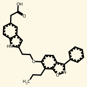 CCCc1c(OCCc2cc3cc(CC(=O)O)ccc3[nH]2)ccc2c(-c3ccccc3)noc12